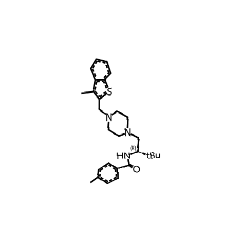 Cc1ccc(C(=O)N[C@@H](CN2CCN(Cc3sc4ccccc4c3C)CC2)C(C)(C)C)cc1